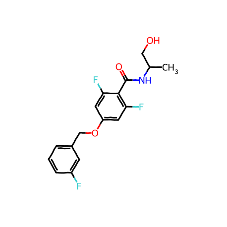 CC(CO)NC(=O)c1c(F)cc(OCc2cccc(F)c2)cc1F